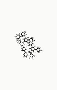 CC1C=C(c2ccc(-c3cccc(-c4ccccc4Nc4cc(-c5ccccc5)cc(-c5ccc6ccccc6c5)c4)c3)cc2)C=C2c3cccc(c3)-c3ccccc3-c3ccccc3NC21